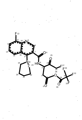 O=C(CC(NC(=O)c1cnc2c(F)cccc2c1N1CCCCC1)C(=O)CF)OC(=O)C(F)(F)F